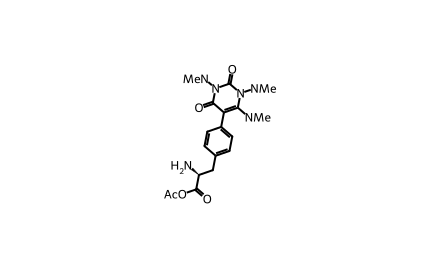 CNc1c(-c2ccc(C[C@H](N)C(=O)OC(C)=O)cc2)c(=O)n(NC)c(=O)n1NC